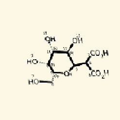 O=C(O)C(C(=O)O)C1O[C@H](CO)[C@H](O)[C@H](O)[C@H]1O